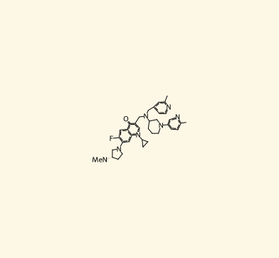 CN[C@H]1CCN(c2cc3c(cc2F)c(=O)c(CN(Cc2ccnc(C)c2)C2CCCN(c4ccc(C)nc4)C2)cn3C2CC2)C1